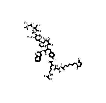 CC[C@H](C)C([C@@H](CC(=O)N1CCC[C@H]1[C@H](OC)[C@@H](C)C(=O)NC(Cc1ccc(NC(=O)C(CCCNC(N)=O)NC(=O)[C@H](NC(=O)CCCCCN2C(=O)C=CC2=O)C(C)C)cc1)C(=O)Nc1cnc2ccccc2c1)OC)N(C)C(=O)C(NC(=O)[C@H](C(C)C)N(C)C)C(C)C